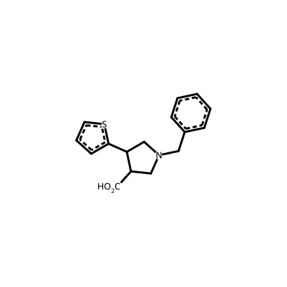 O=C(O)C1CN(Cc2ccccc2)CC1c1cccs1